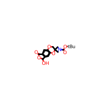 CC(C)(C)OC(=O)N1CC2(COc3cc4c(cc3O2)C(O)OC4=O)C1